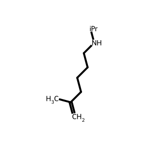 C=C(C)CCCCNC(C)C